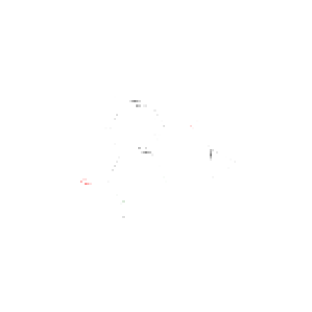 O=C(Cl)c1cccc(OC2CC2)c1Cl